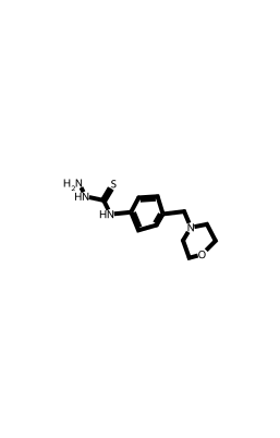 NNC(=S)Nc1ccc(CN2CCOCC2)cc1